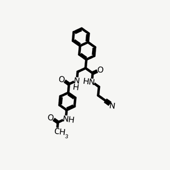 CC(=O)Nc1ccc(C(=O)NCC(C(=O)NCCC#N)c2ccc3ccccc3c2)cc1